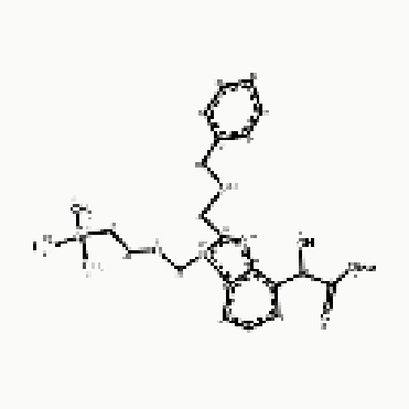 COC(=O)C(O)c1cccc2c1nc(COCc1ccccc1)n2COCC[Si](C)(C)C